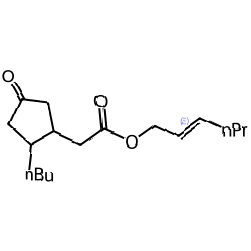 CCC/C=C/COC(=O)CC1CC(=O)CC1CCCC